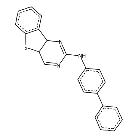 C1=NC(Nc2ccc(-c3ccccc3)cc2)=NC2c3ccccc3SC12